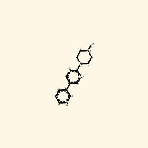 CC(C)N1CCN(c2ncc(-c3cccnc3)cn2)CC1